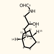 O=CNCC(O)CN1[C@@H]2C[CH]C[C@H]1CC2